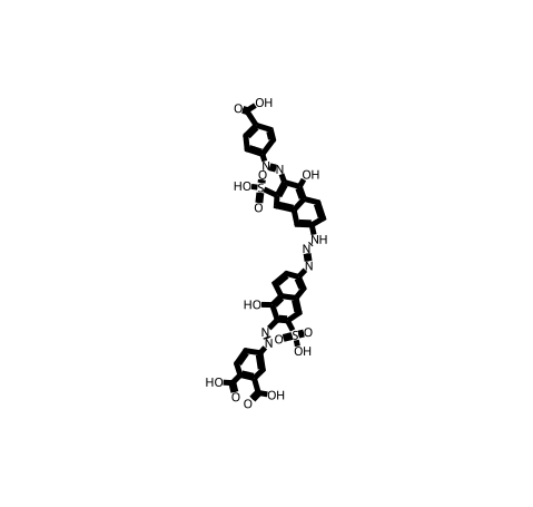 O=C(O)c1ccc(/N=N/c2c(S(=O)(=O)O)cc3cc(N/N=N/c4ccc5c(O)c(/N=N/c6ccc(C(=O)O)c(C(=O)O)c6)c(S(=O)(=O)O)cc5c4)ccc3c2O)cc1